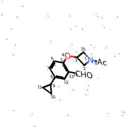 CC(=O)N1CC(Oc2ccc(C3CC3)cc2C=O)C1